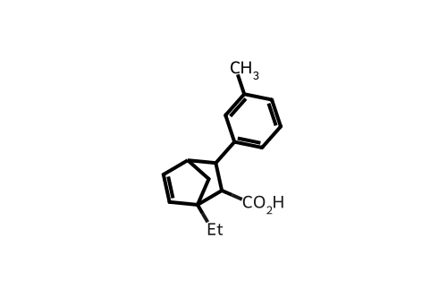 CCC12C=CC(C1)C(c1cccc(C)c1)C2C(=O)O